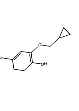 CCCC1=CC(OCC2CC2)=C(O)CC1